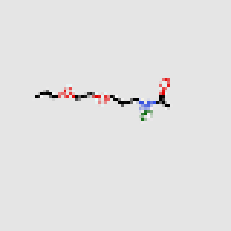 CCCOCCOCCCN(Cl)C(C)=O